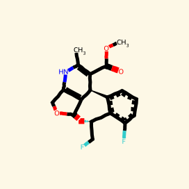 COC(=O)C1=C(C)NC2=C(C(=O)OC2)[C@@H]1c1cccc(F)c1[C@@H](F)CF